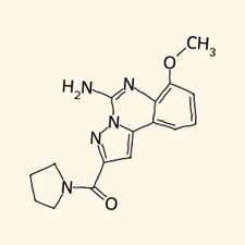 COc1cccc2c1nc(N)n1nc(C(=O)N3CCCC3)cc21